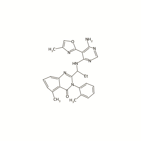 CCC(Nc1ncnc(N)c1-c1nc(C)co1)c1nc2cccc(C)c2c(=O)n1-c1ccccc1C